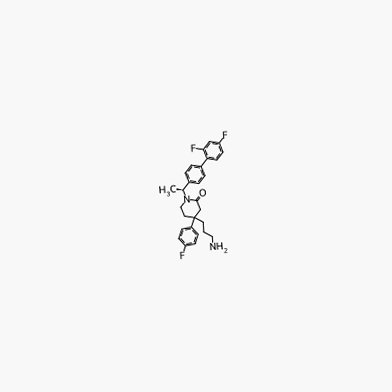 C[C@@H](c1ccc(-c2ccc(F)cc2F)cc1)N1CCC(CCCN)(c2ccc(F)cc2)CC1=O